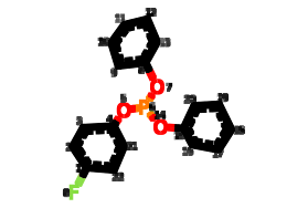 Fc1ccc(OP(Oc2ccccc2)Oc2ccccc2)cc1